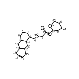 O=C(CSCC1CCCC2CC3CC=CCC3CC12)OC1CCCCO1